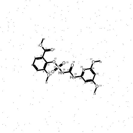 COC(=O)c1cccc(OC)c1OS(=O)(=O)NC(=O)Nc1cc(OC)cc(OC)n1